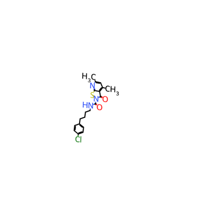 Cc1cc(C)c2c(=O)n(C(=O)NCCCCc3ccc(Cl)cc3)sc2n1